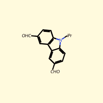 CC(C)n1c2ccc(C=O)cc2c2cc(C=O)ccc21